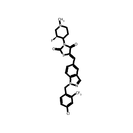 CN1CCC(N2C(=O)S/C(=C\c3ccc4c(cnn4Cc4ccc(Cl)cc4C(F)(F)F)c3)C2=O)[C@@H](F)C1